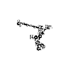 Cc1cccc(-c2nc(CN(Cc3ccccc3OC(F)(F)F)C(=O)OCc3ccc(NC(=O)[C@H](CCCNC(N)=O)NC(=O)C(NC(=O)CCOCCOCCOCCOCCN4C(=O)C=CC4=O)C(C)C)cc3)[nH]c2-c2ccc3ncnn3c2)n1